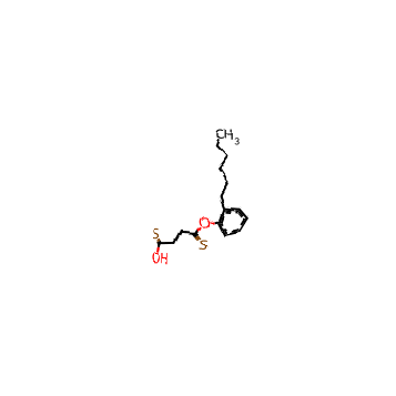 CCCCCCc1ccccc1OC(=S)CCC(O)=S